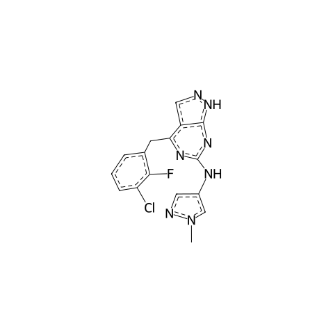 Cn1cc(Nc2nc(Cc3cccc(Cl)c3F)c3cn[nH]c3n2)cn1